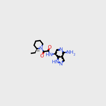 CC[C@H]1CCCCN1C(=O)C(=O)Nc1cnc(N)c2cn[nH]c12